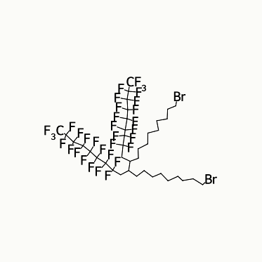 FC(F)(F)C(F)(F)C(F)(F)C(F)(F)C(F)(F)C(F)(F)C(F)(F)C(F)(F)CC(CCCCCCCCCBr)C(CCCCCCCCCBr)CC(F)(F)C(F)(F)C(F)(F)C(F)(F)C(F)(F)C(F)(F)C(F)(F)C(F)(F)F